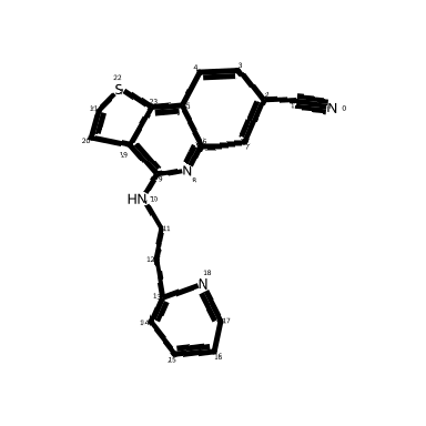 N#Cc1ccc2c(c1)nc(NCCc1ccccn1)c1ccsc12